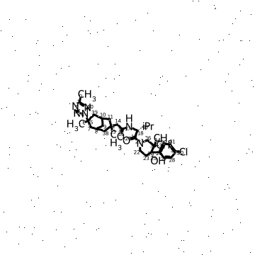 Cc1nnn(C2(C)CC3CC(CC(C)(CC(=O)N[C@@H](C(=O)N4CC[C@](O)(c5ccc(Cl)cc5)C(C)(C)C4)C(C)C)C3)C2)n1